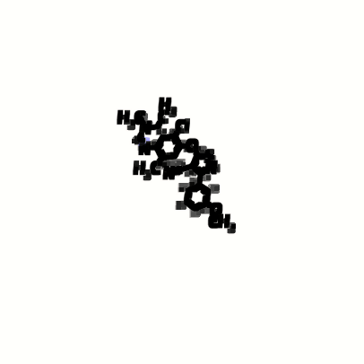 CCN(C)/C=N\c1cc(Cl)c(Oc2snc(-c3cccc(OC)c3)c2C#N)cc1C